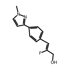 Cn1ccc(-c2ccc(/C=C(\F)CO)cc2)n1